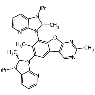 Cc1ncc2c(n1)oc1c(N3c4ncccc4N(C(C)C)[C@@H]3C)c(C)c(N3c4ncccc4N(C(C)C)[C@H]3C)cc12